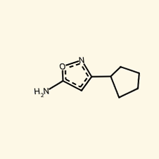 Nc1cc(C2CCCC2)no1